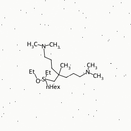 CCCCCC[Si](CC)(CC(C)(CCCN(C)C)CCCN(C)C)OCC